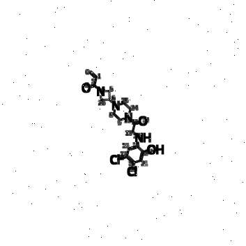 C=CC(=O)N1CC(N2CCN(C(=O)CNc3cc(Cl)c(Cl)cc3O)CC2)C1